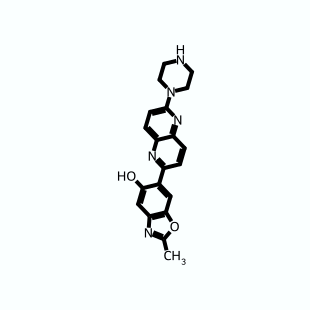 Cc1nc2cc(O)c(-c3ccc4nc(N5CCNCC5)ccc4n3)cc2o1